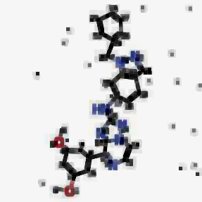 COc1cc(OC)cc(-c2nccn3nc(Nc4ccc5cnn(Cc6ccccc6)c5c4)nc23)c1